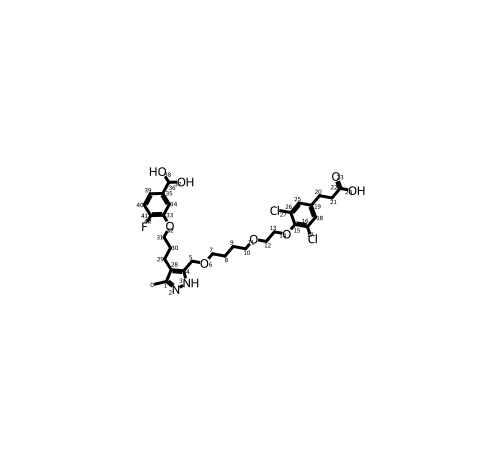 Cc1n[nH]c(COCCCCOCCOc2c(Cl)cc(CCC(=O)O)cc2Cl)c1CCCOc1cc(C(O)O)ccc1F